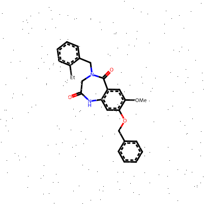 CCc1ccccc1CN1CC(=O)Nc2cc(OCc3ccccc3)c(OC)cc2C1=O